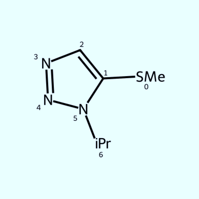 CSc1cnnn1C(C)C